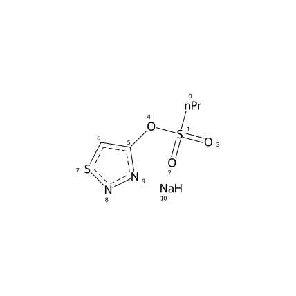 CCCS(=O)(=O)Oc1csnn1.[NaH]